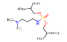 CCCCCCCCC(CCCCCC)COP(=O)(NCCCN(C)C)OCC(CCCCCC)CCCCCCCC